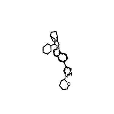 O=C(C1CCCCC1)N1C2CCC1C(Cn1ccc3cc(-c4cnn(C5CCCCO5)c4)ccc31)C2